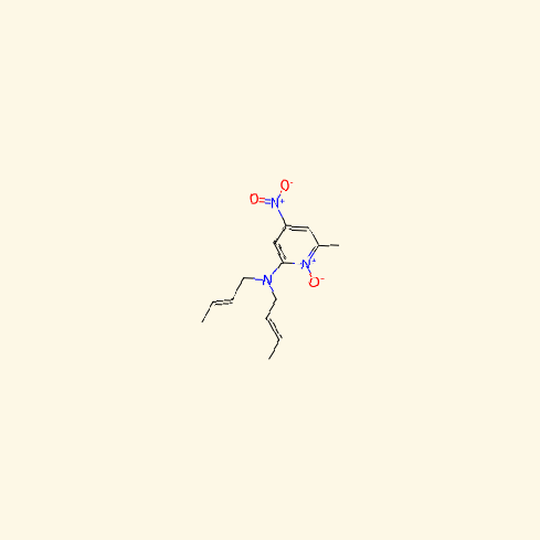 CC=CCN(CC=CC)c1cc([N+](=O)[O-])cc(C)[n+]1[O-]